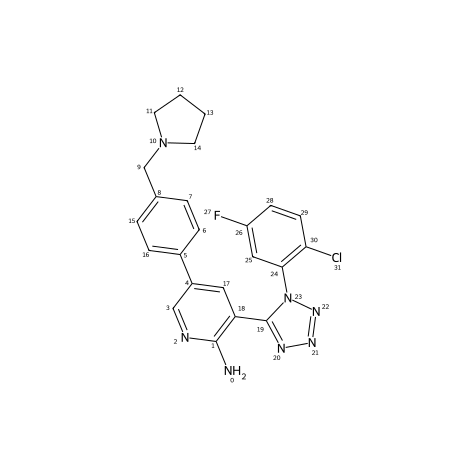 Nc1ncc(-c2ccc(CN3CCCC3)cc2)cc1-c1nnnn1-c1cc(F)ccc1Cl